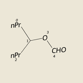 CCCC(CCC)OC=O